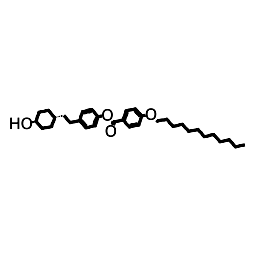 CCCCCCCCCCCCOc1ccc(C(=O)Oc2ccc(CC[C@H]3CC[C@H](O)CC3)cc2)cc1